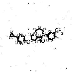 O=C1[C@H]2C[C@H](Oc3cnc(C4CC4)cn3)CN2CCCN1c1cccc(C(F)(F)F)c1